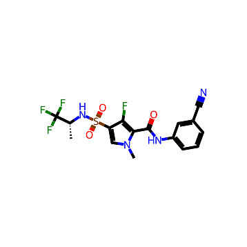 C[C@@H](NS(=O)(=O)c1cn(C)c(C(=O)Nc2cccc(C#N)c2)c1F)C(F)(F)F